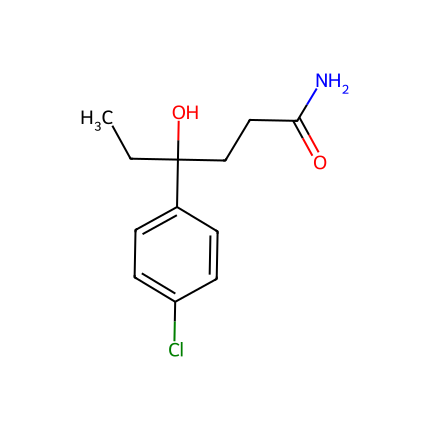 CCC(O)(CCC(N)=O)c1ccc(Cl)cc1